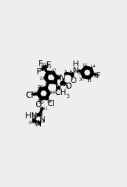 Cn1c(=O)n(CC(=O)Nc2ccc(F)cc2)c2cc(C(F)(F)F)cc(-c3cc(Cl)c(OCc4nnc[nH]4)c(Cl)c3)c21